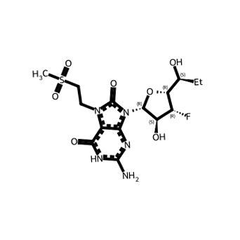 CC[C@H](O)[C@H]1O[C@@H](n2c(=O)n(CCS(C)(=O)=O)c3c(=O)[nH]c(N)nc32)[C@H](O)[C@H]1F